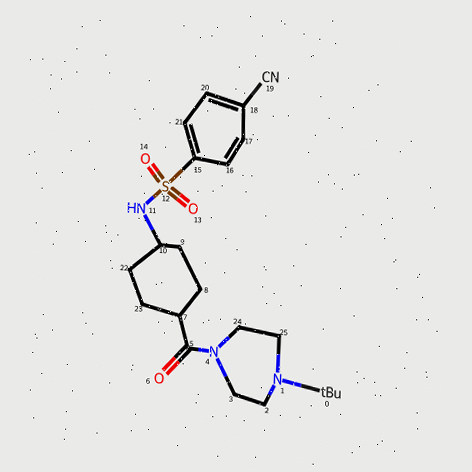 CC(C)(C)N1CCN(C(=O)C2CCC(NS(=O)(=O)c3ccc(C#N)cc3)CC2)CC1